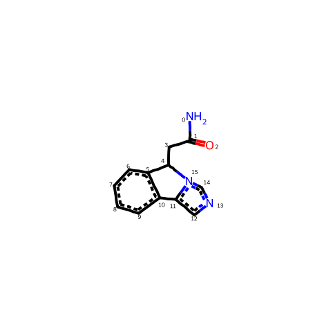 NC(=O)CC1c2ccccc2-c2cncn21